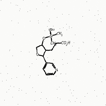 CC(C)(C)[Si](C)(C)OC1COC(c2cccnc2)C1CCC(=O)O